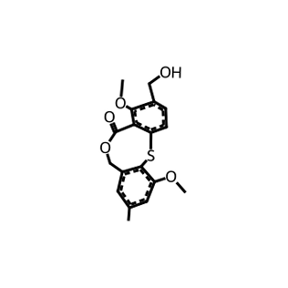 COc1cc(C)cc2c1Sc1ccc(CO)c(OC)c1C(=O)OC2